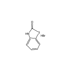 Br.O=c1[nH]c2ccccc2s1